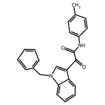 Cc1ccc(NC(=O)C(=O)c2cn(Cc3ccccc3)c3ccccc23)cc1